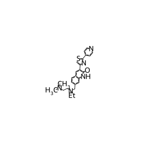 CCN(CCN(C)C)Cc1ccc2cc(-c3csc(-c4ccncc4)n3)c(=O)[nH]c2c1